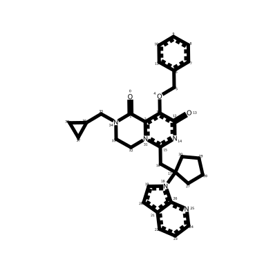 O=C1c2c(OCc3ccccc3)c(=O)nc(CC3(n4ccc5cccnc54)CCCC3)n2CCN1CC1CC1